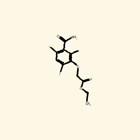 CCOC(=O)COc1c(I)cc(I)c(C(N)=O)c1I